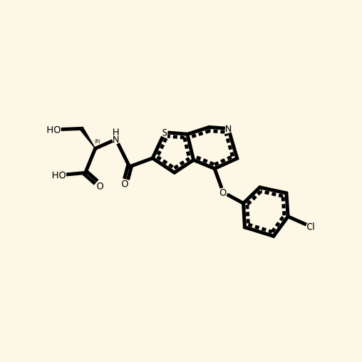 O=C(N[C@H](CO)C(=O)O)c1cc2c(Oc3ccc(Cl)cc3)cncc2s1